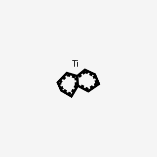 [Ti].c1ccc2ccccc2c1